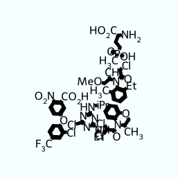 CC1COc2ccccc2N1C(=O)C(Cl)Cl.CCNc1nc(Cl)nc(NC(C)C)n1.CCc1cccc(C)c1N(C(=O)CCl)C(C)COC.CP(=O)(O)CCC(N)C(=O)O.O=C(O)c1cc(Oc2ccc(C(F)(F)F)cc2Cl)ccc1[N+](=O)[O-]